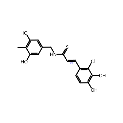 Cc1c(O)cc(CNC(=S)/C=C/c2ccc(O)c(O)c2Cl)cc1O